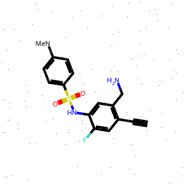 C#Cc1cc(F)c(NS(=O)(=O)c2ccc(NC)cc2)cc1CN